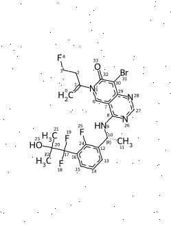 C=C(CCF)n1cc2c(N[C@H](C)c3cccc(C(F)(F)C(C)(C)O)c3F)ncnc2c(Br)c1=O